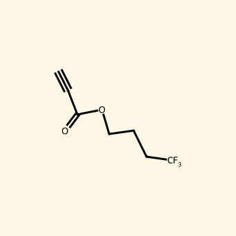 C#CC(=O)OCCCC(F)(F)F